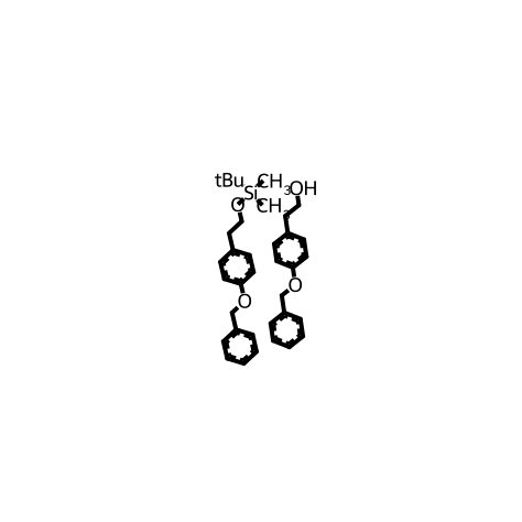 CC(C)(C)[Si](C)(C)OCCc1ccc(OCc2ccccc2)cc1.OCCc1ccc(OCc2ccccc2)cc1